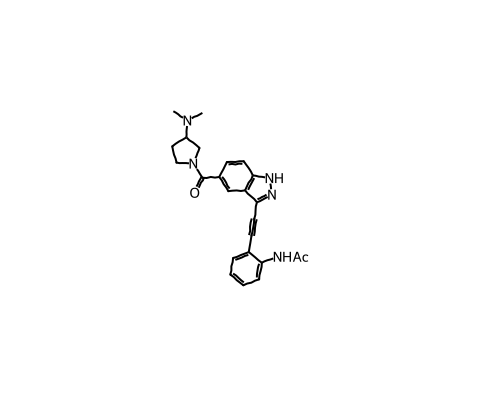 CC(=O)Nc1ccccc1C#Cc1n[nH]c2ccc(C(=O)N3CCC(N(C)C)C3)cc12